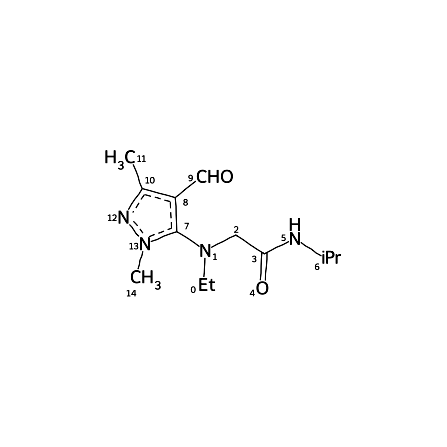 CCN(CC(=O)NC(C)C)c1c(C=O)c(C)nn1C